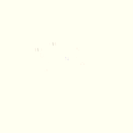 CC1(C)CN(C(=O)OCc2ccccc2)CCC12OCCO2